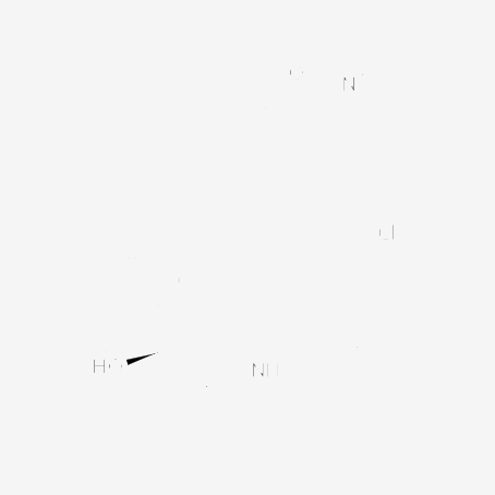 Cc1noc(C)c1-c1cc2c(c(C)c1Cl)NC(C)(C)[C@@H](O)[C@@H]2C